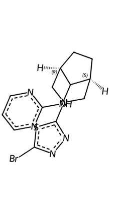 Brc1nnc(N2C[C@H]3CC[C@@H](C2)C3Nc2ncccn2)s1